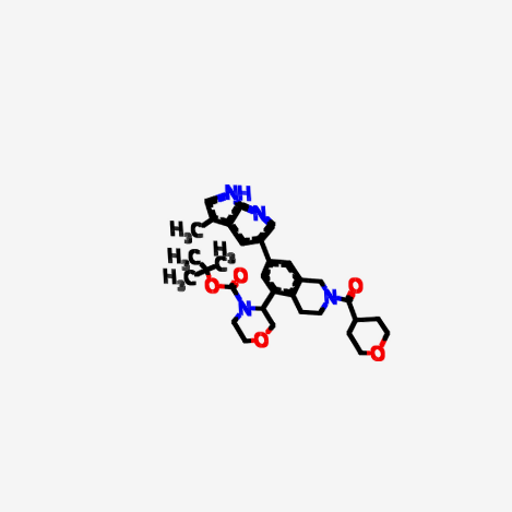 Cc1c[nH]c2ncc(-c3cc4c(c(C5COCCN5C(=O)OC(C)(C)C)c3)CCN(C(=O)C3CCOCC3)C4)cc12